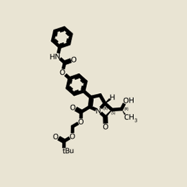 C[C@@H](O)[C@H]1C(=O)N2C(C(=O)OCOC(=O)C(C)(C)C)=C(c3ccc(OC(=O)Nc4ccccc4)cc3)C[C@H]12